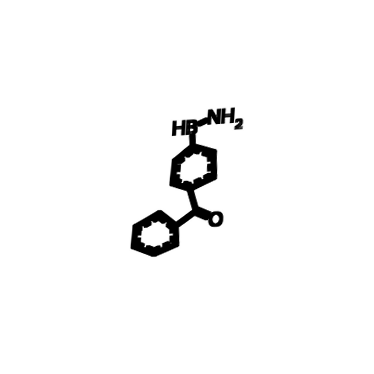 NBc1ccc(C(=O)c2ccccc2)cc1